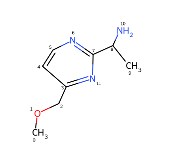 COCc1ccnc(C(C)N)n1